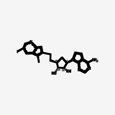 Cn1c(CC[C@H]2C[C@@H](n3ccc4c(N)ncnc43)[C@H](O)[C@@H]2O)cc2ncc(I)cc21